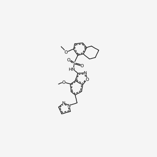 COc1ccc2c(c1S(=O)(=O)Nc1noc3cc(Cn4cccn4)cc(OC)c13)CCCC2